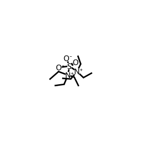 CC[N+](CC)(CC)S(=O)([O-])([O-])[N+](CC)(CC)CC